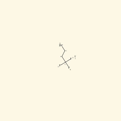 FC(F)(F)C[CH2][Zn+].[I-]